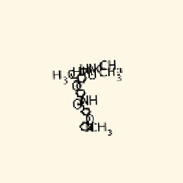 CCc1cc(NC(=O)NC(CC)CC)ccc1Oc1ccc(NC(=O)c2ccc(OC34CCCC(CC3)N4C)cc2)cc1